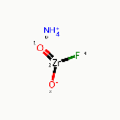 [NH4+].[O]=[Zr]([O-])[F]